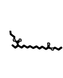 CCCOC(=O)CCCCCCCCCC(CC)C(=O)OCCC